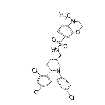 CN1CCOc2cc(S(=O)(=O)NC[C@@H]3CC[C@@H](c4ccc(Cl)cc4Cl)N(c4ccc(Cl)cc4)C3)ccc21